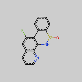 [O-][S+]1Nc2c(c(F)cc3cccnc23)-c2ccccc21